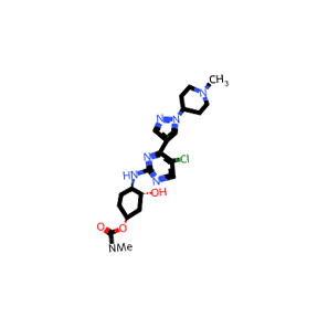 CNC(=O)O[C@@H]1CC[C@@H](Nc2ncc(Cl)c(-c3cnn(C4CCN(C)CC4)c3)n2)[C@H](O)C1